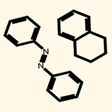 c1ccc(N=Nc2ccccc2)cc1.c1ccc2c(c1)CCCC2